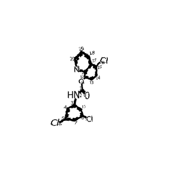 O=C(Nc1cc(Cl)cc(Cl)c1)Oc1ccc(Cl)c2cccnc12